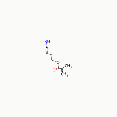 C=C(C)C(=O)OCCC=C=N